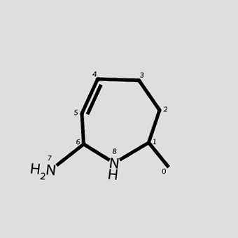 CC1CCC=CC(N)N1